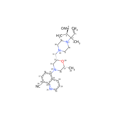 C=CC(C)([C@@H](C)OC)N1CCN(C[C@H]2CN(c3ccc(C#N)c4ncccc34)C[C@@H](C)O2)CC1